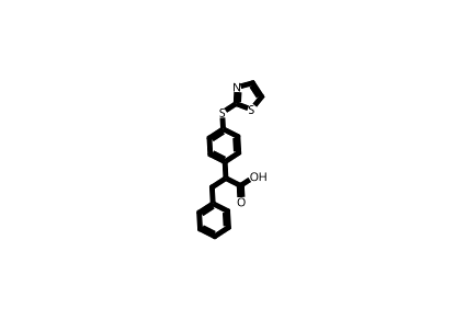 O=C(O)C(Cc1ccccc1)c1ccc(Sc2nccs2)cc1